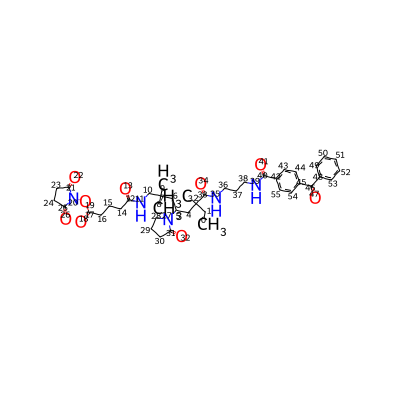 CCC(C)(CC(CC(C)(C)CNC(=O)CCCC(=O)ON1C(=O)CCC1=O)N1CCCC1=O)C(=O)NCCCNC(=O)c1ccc(C(=O)c2ccccc2)cc1